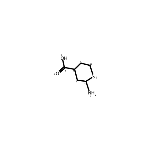 NC1CC(C(=O)O)CCS1